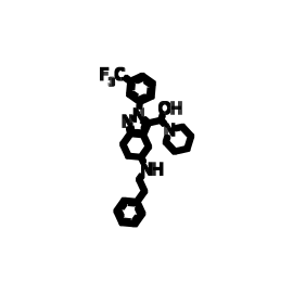 OC(c1c2c(nn1-c1cccc(C(F)(F)F)c1)CCC(NCCc1ccccc1)C2)N1CCCCC1